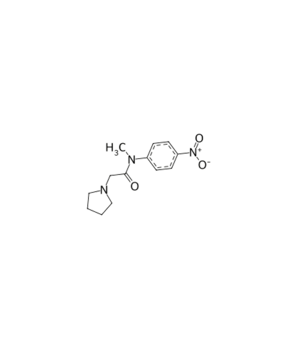 CN(C(=O)CN1CCCC1)c1ccc([N+](=O)[O-])cc1